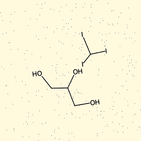 IC(I)I.OCC(O)CO